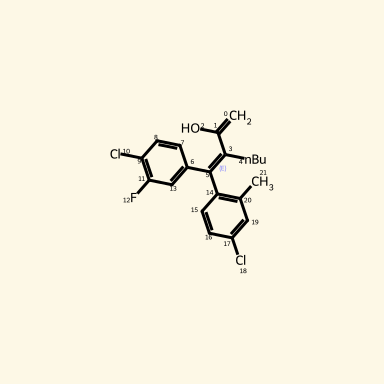 C=C(O)/C(CCCC)=C(\c1ccc(Cl)c(F)c1)c1ccc(Cl)cc1C